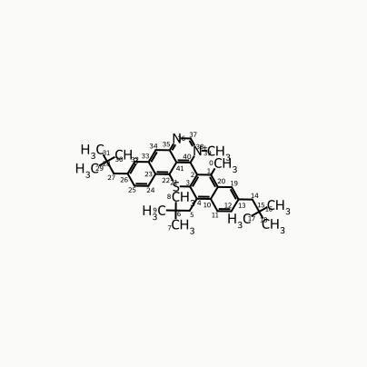 Cc1c2c(c(CC(C)(C)C)c3ccc(CC(C)(C)C)cc13)Sc1c3ccc(CC(C)(C)C)cc3cc3nc[n+](C)c-2c13